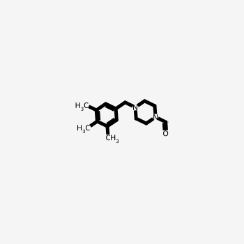 Cc1cc(CN2CCN([C]=O)CC2)cc(C)c1C